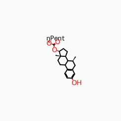 CCCCCOC(=O)O[C@H]1CCC2C3C(CC[C@@]21C)c1ccc(O)cc1C[C@@H]3C